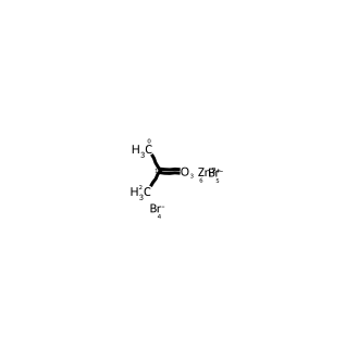 CC(C)=O.[Br-].[Br-].[Zn+2]